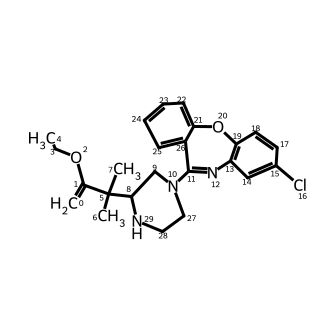 C=C(OCC)C(C)(C)C1CN(C2=Nc3cc(Cl)ccc3Oc3ccccc32)CCN1